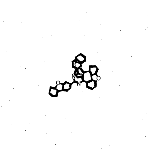 C1=CCCC(c2nc(-c3ccc4c(c3)oc3ccccc34)nc(-c3cccc4oc5cccc(-c6cccc7oc8ccccc8c67)c5c34)n2)=C1